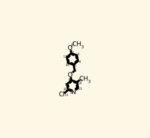 COc1ccc(COc2cc(Cl)ncc2C)cc1